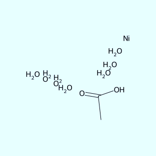 CC(=O)O.O.O.O.O.O.O.O.[Ni]